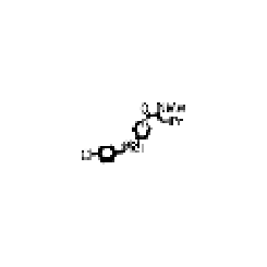 CNC(CC(C)C)C(=O)N1CCC(=NOCc2ccc(Cl)cc2)CC1.Cl